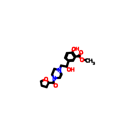 COC(=O)c1cc(C(O)CN2CCN(C(=O)C3CCCO3)CC2)ccc1O